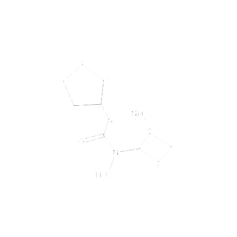 CN(C(=O)[C@@H](N)C1CCCC1)C1CCC1